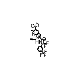 C#CCn1c(C(=O)NC(c2cccc(C(F)(F)F)c2)C(F)(F)F)cc2cc(C(=O)OC)c(C)nc21